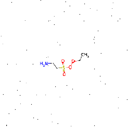 CCOOS(=O)(=O)CCN